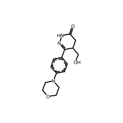 O=C1CC(CO)C(c2ccc(N3CCOCC3)cc2)=NN1